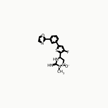 CN1C(=N)NC(c2sc(-c3cccc(-c4ncco4)c3)cc2F)C[S+]1[O-]